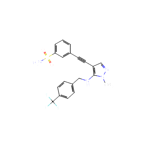 Cn1ncc(C#Cc2cccc(S(N)(=O)=O)c2)c1NCc1ccc(C(F)(F)F)cc1